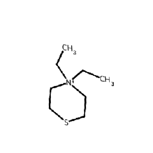 CC[N+]1(CC)CCSCC1